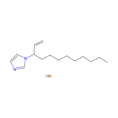 Br.C=CC(CCCCCCCCC)n1ccnc1